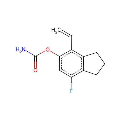 C=Cc1c(OC(N)=O)cc(F)c2c1CCC2